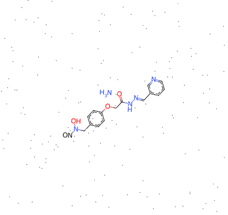 N.O=NN(O)Cc1ccc(OCC(=O)NN=Cc2cccnc2)cc1